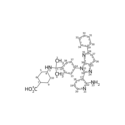 CC(C)(NC1CCC(C(=O)O)CC1)c1ccc(-n2c(-c3cccnc3N)nc3ccc(-c4ccccc4)nc32)cc1